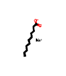 C=CCCCCCCCCC(=O)[O-].[Na+]